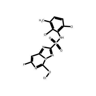 CCOc1nc(F)cc2nc(S(=O)(=O)Nc3c(Cl)ccc(C)c3Cl)nn12